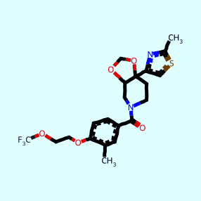 Cc1nc(C23CCN(C(=O)c4ccc(OCCOC(F)(F)F)c(C)c4)CC2OCO3)cs1